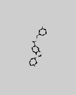 Cc1cccc(-n2cnc3cc(C(=O)NCc4cccc(Cl)c4)ccc32)c1